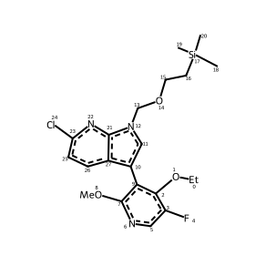 CCOc1c(F)cnc(OC)c1-c1cn(COCC[Si](C)(C)C)c2nc(Cl)ccc12